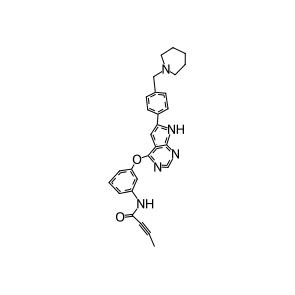 CC#CC(=O)Nc1cccc(Oc2ncnc3[nH]c(-c4ccc(CN5CCCCC5)cc4)cc23)c1